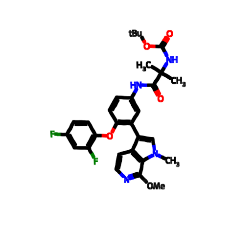 COc1nccc2c(-c3cc(NC(=O)C(C)(C)NC(=O)OC(C)(C)C)ccc3Oc3ccc(F)cc3F)cn(C)c12